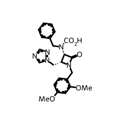 COc1ccc(CN2C(=O)[C@@H](N(Cc3ccccc3)C(=O)O)[C@H]2Cn2cncn2)c(OC)c1